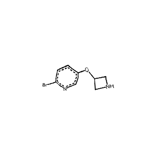 Brc1ccc(OC2CNC2)cn1